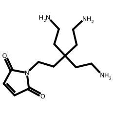 NCCC(CCN)(CCN)CCN1C(=O)C=CC1=O